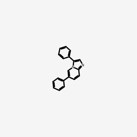 c1ccc(-c2ccc3ncc(-c4ccccc4)n3c2)cc1